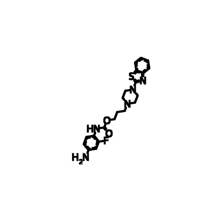 Nc1ccc(NC(=O)OCCCN2CCN(c3nc4ccccc4s3)CC2)c(F)c1